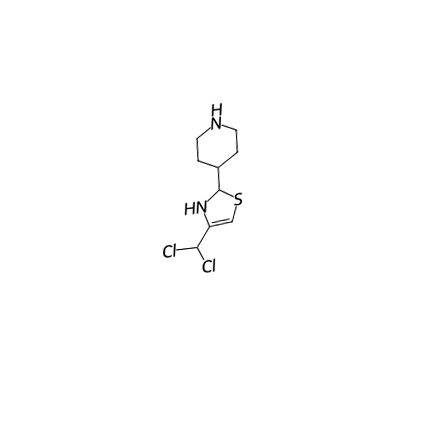 ClC(Cl)C1=CSC(C2CCNCC2)N1